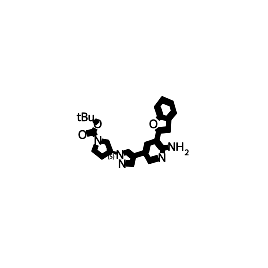 CC(C)(C)OC(=O)N1CC[C@H](n2cc(-c3cnc(N)c(-c4cc5ccccc5o4)c3)cn2)C1